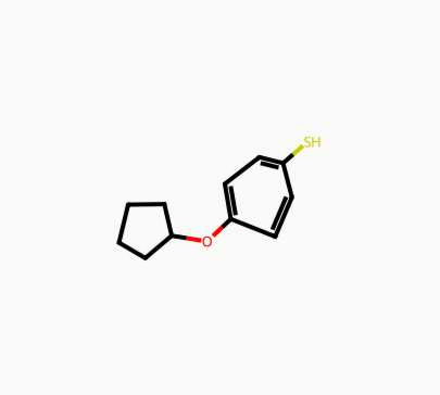 Sc1ccc(OC2CCCC2)cc1